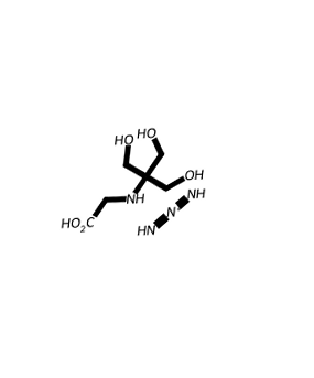 N=[N+]=N.O=C(O)CNC(CO)(CO)CO